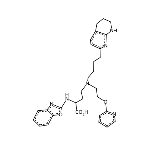 O=C(O)C(CCN(CCCCc1ccc2c(n1)NCCC2)CCOc1ccccn1)Nc1nc2ccccc2o1